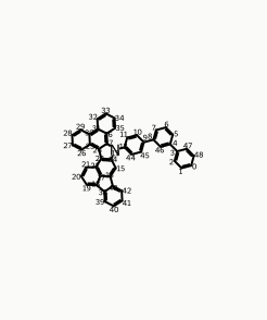 c1ccc(-c2cccc(-c3ccc(-n4c5cc6c7c(cccc7c5c5c7ccccc7c7ccccc7c54)-c4ccccc4-6)cc3)c2)cc1